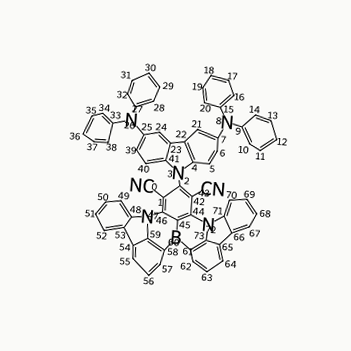 N#Cc1c(-n2c3ccc(N(c4ccccc4)c4ccccc4)cc3c3cc(N(c4ccccc4)c4ccccc4)ccc32)c(C#N)c2c3c1-n1c4ccccc4c4cccc(c41)B3c1cccc3c4ccccc4n-2c13